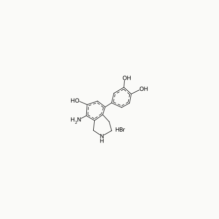 Br.Nc1c(O)cc(-c2ccc(O)c(O)c2)c2c1CNCC2